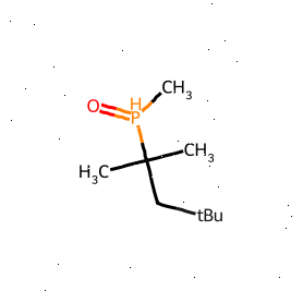 C[PH](=O)C(C)(C)CC(C)(C)C